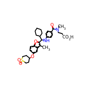 Cc1c(C(Nc2ccc(C(=O)N(C)CCC(=O)O)cc2)C2CCCCC2)oc2ccc(OC3CCS(=O)(=O)CC3)cc12